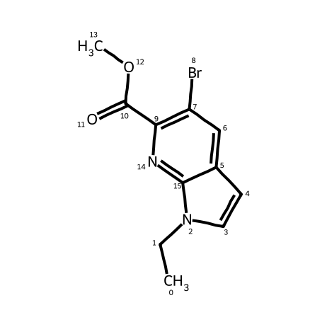 CCn1ccc2cc(Br)c(C(=O)OC)nc21